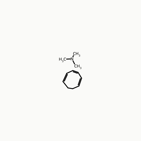 C1=CC=CCCC=C1.CN(C)C